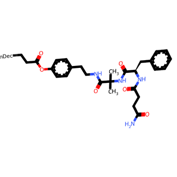 CCCCCCCCCCCCC(=O)Oc1ccc(CCNC(=O)C(C)(C)NC(=O)[C@@H](Cc2ccccc2)NC(=O)CCC(N)=O)cc1